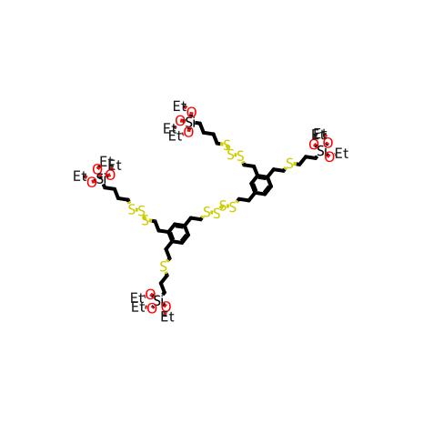 CCO[Si](CCCCSSSCCc1cc(CCSSSSCCc2ccc(CCSCCC[Si](OCC)(OCC)OCC)c(CCSSSCCCC[Si](OCC)(OCC)OCC)c2)ccc1CCSCCC[Si](OCC)(OCC)OCC)(OCC)OCC